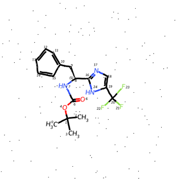 CC(C)(C)OC(=O)N[C@@H](Cc1ccccc1)c1ncc(C(F)(F)F)[nH]1